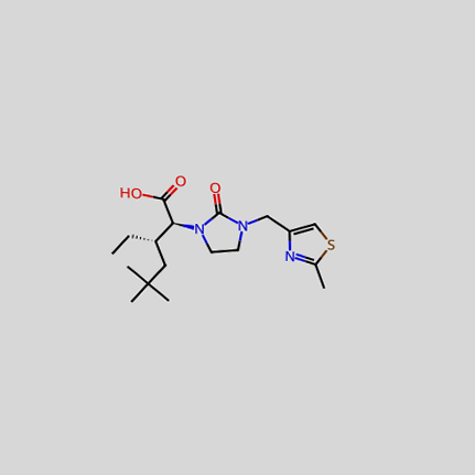 CC[C@@H](CC(C)(C)C)[C@@H](C(=O)O)N1CCN(Cc2csc(C)n2)C1=O